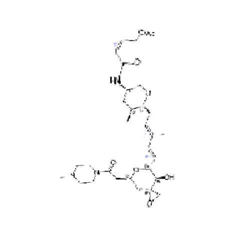 CC(=O)OC/C=C\C(=O)N[C@H]1CO[C@@H](C/C=C(C)/C=C/[C@H]2O[C@H](CC(=O)N3CCN(C)CC3)C[C@@]3(CO3)[C@@H]2O)[C@@H](C)C1